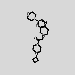 O=C(CN1CCc2ncc(N3CCOCC3)nc2C1)N1CCN(C2CCC2)CC1